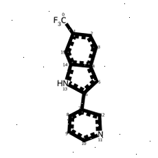 FC(F)(F)c1ccc2cc(-c3cccnc3)[nH]c2c1